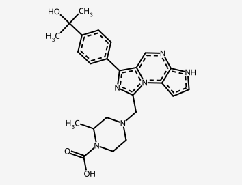 CC1CN(Cc2nc(-c3ccc(C(C)(C)O)cc3)c3cnc4[nH]ccc4n23)CCN1C(=O)O